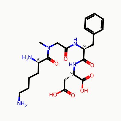 CN(CC(=O)N[C@@H](Cc1ccccc1)C(=O)N[C@@H](CC(=O)O)C(=O)O)C(=O)[C@H](N)CCCCN